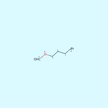 CC(C)CCCOC=O